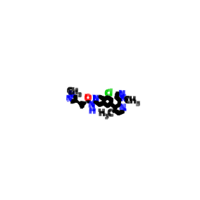 Cc1ccnc(-c2ccnn2C)c1-c1cc(Cl)c2cnc(NC(=O)[C@@H]3C[C@H]3c3cnn(C)c3)cc2c1